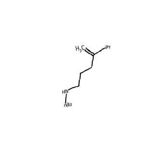 C=C(CCCNCCCC)C(C)C